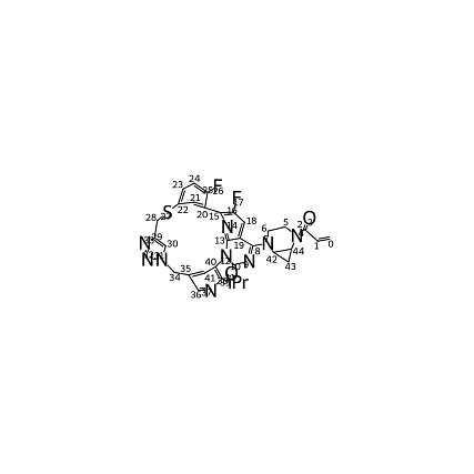 C=CC(=O)N1CCN(c2nc(=O)n3c4nc(c(F)cc24)-c2cc(ccc2F)SCc2cn(nn2)Cc2cnc(C(C)C)c-3c2)C2CC21